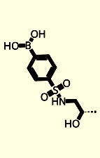 C[C@H](O)CNS(=O)(=O)c1ccc(B(O)O)cc1